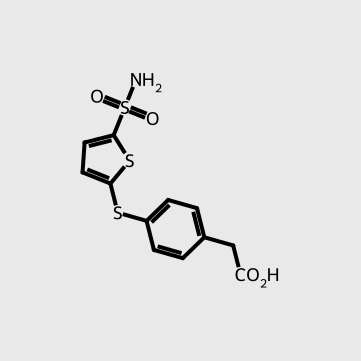 NS(=O)(=O)c1ccc(Sc2ccc(CC(=O)O)cc2)s1